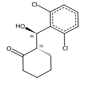 O=C1CCCC[C@H]1[C@@H](O)c1c(Cl)cccc1Cl